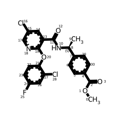 COC(=O)c1ccc([C@H](C)NC(=O)c2cc(Cl)cnc2Oc2ccc(F)cc2Cl)cc1